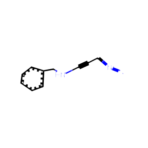 [N-]=[N+]=CC#CNCc1ccccc1